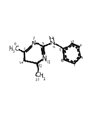 CC1=NC(Nc2ccccc2)=NC(C)C1